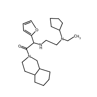 CCN(CCNC(C(=O)N1CCC2CCCCC2C1)c1ccco1)C1CCCC1